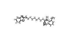 CC(C)c1cccc(C(C)C)c1NC(=O)CCCCCCCCSc1nc2ccccc2o1